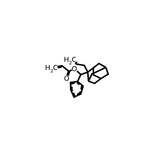 C=CCC1(C(OC(=O)C=C)c2ccccc2)C2CC3CC(C2)CC1C3